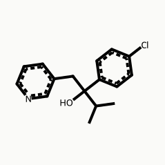 CC(C)C(O)(Cc1cccnc1)c1ccc(Cl)cc1